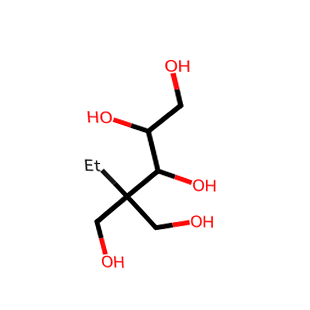 CCC(CO)(CO)C(O)C(O)CO